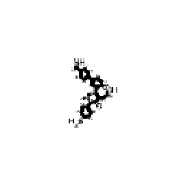 CN(C)C(C(=O)C1=Cc2cc(-c3ccc(CN)cc3)ccc2OCC1)c1ccc(N)cc1.I